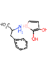 NC(Cc1ccccc1)C(=O)O.OC1=C(O)C=CB1